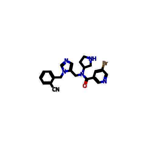 N#Cc1ccccc1Cn1cncc1CN(C(=O)c1cncc(Br)c1)C1CCNC1